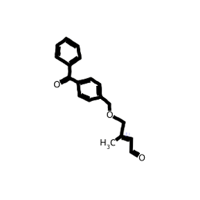 C/C(=C\C=O)COCc1ccc(C(=O)c2ccccc2)cc1